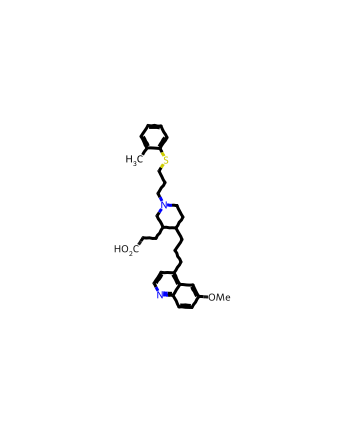 COc1ccc2nccc(CCCC3CCN(CCCSc4ccccc4C)CC3CCC(=O)O)c2c1